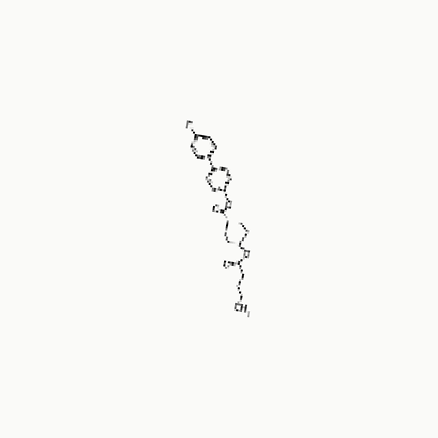 CCCCC(=O)O[C@H]1CC[C@H](C(=O)Oc2ccc(-c3ccc(F)cc3)cc2)CC1